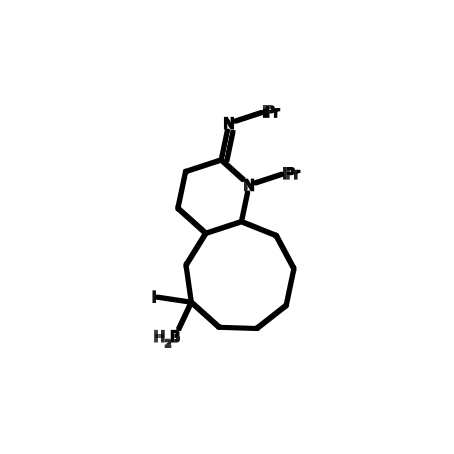 BC1(I)CCCCCC2C(CC/C(=N/C(C)C)N2C(C)C)C1